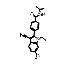 CCn1c(-c2ccc(C(=O)NC(C)C)cc2)c(C#N)c2ccc(OC)cc21